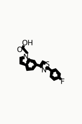 O=C(O)Cn1ccc2ccc(-c3csc(-c4ccc(F)cc4)n3)cc21